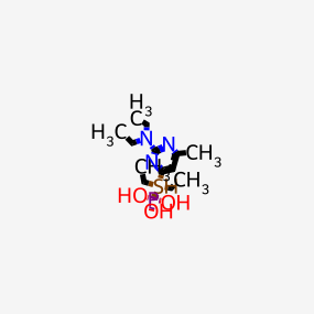 CCN(CC)c1nc(C)cc([SH](CC)(CC)=P(O)(O)O)n1